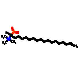 C=CCCCCCCCCCCCCCCCC(CC)(P(=O)=O)[N+](C)(C)C